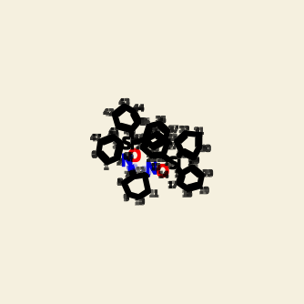 c1ccc([Si](O/N=C2/CCCC/C2=N\O[Si](c2ccccc2)(c2ccccc2)c2ccccc2)(c2ccccc2)c2ccccc2)cc1